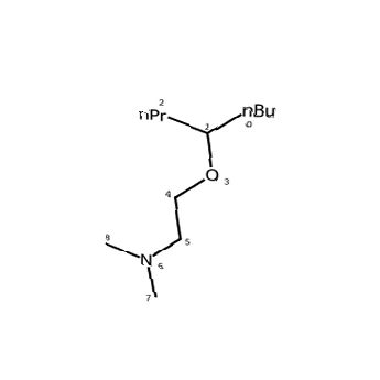 CCCCC(CCC)OCCN(C)C